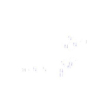 Cc1cnc2ncc(-c3ccn4nc(N[C@H]5CC[C@@H](N6CCN(C)CC6)CC5)ncc34)cn12